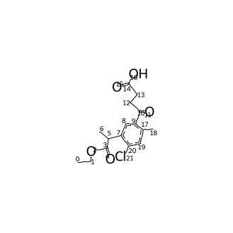 CCOC(=O)C(C)c1cc(C(=O)CCC(=O)O)c(C)cc1Cl